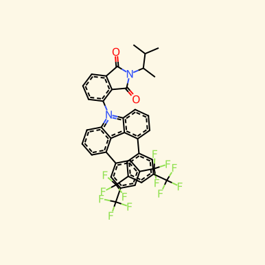 CC(C)C(C)N1C(=O)c2cccc(-n3c4cccc(-c5cc(C(F)(F)F)cc(C(F)(F)F)c5)c4c4c(-c5cc(C(F)(F)F)cc(C(F)(F)F)c5)cccc43)c2C1=O